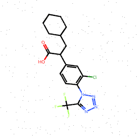 O=C(O)C(CC1CCCCC1)c1ccc(-n2nnnc2C(F)(F)F)c(Cl)c1